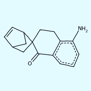 Nc1cccc2c1CCC1(CC3C=CC1C3)C2=O